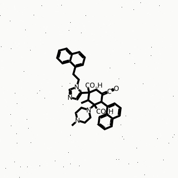 CC1C(C(=O)O)(c2cncn2CCc2cccc3ccccc23)CC(=C=O)C(c2cccc3ccccc23)C1(C(=O)O)N1CCN(C)CC1